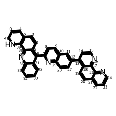 C1=Cc2ccc3c(-c4ccc5cc(-c6ccnc7c6ccc6cccnc67)ccc5n4)c4ccccc4nc3c2NC1